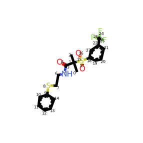 CC(C)(C(=O)NCCSc1ccccc1)S(=O)(=O)c1cccc(C(F)(F)F)c1